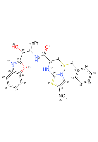 CCC[C@H](NC(=O)C(CSCc1ccccc1)Nc1ncc([N+](=O)[O-])s1)C(O)c1nc2ccccc2o1